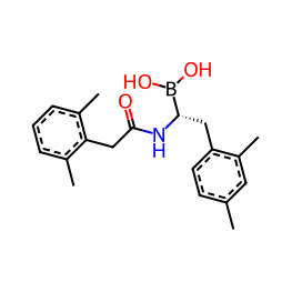 Cc1ccc(C[C@H](NC(=O)Cc2c(C)cccc2C)B(O)O)c(C)c1